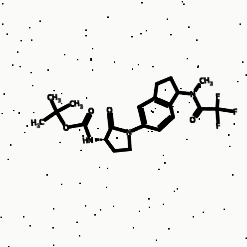 CN(C(=O)C(F)(F)F)C1CCc2cc(N3CC[C@H](NC(=O)OC(C)(C)C)C3=O)ccc21